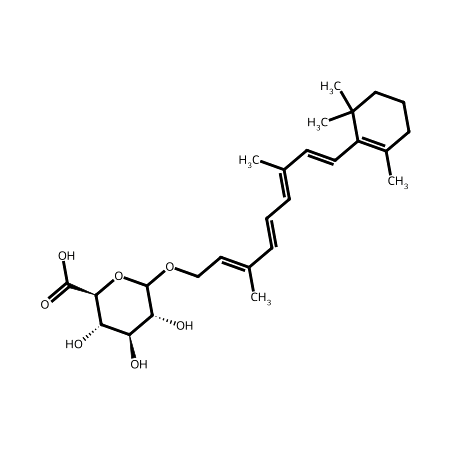 CC(C=CC1=C(C)CCCC1(C)C)=CC=CC(C)=CCOC1O[C@H](C(=O)O)[C@@H](O)[C@H](O)[C@H]1O